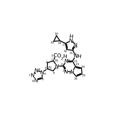 O=C(O)[C@@H]1C[C@H](n2cnnn2)CN1c1nc(Nc2cc(C3CC3)[nH]n2)c2cccn2n1